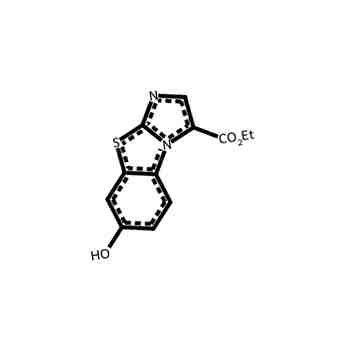 CCOC(=O)c1cnc2sc3cc(O)ccc3n12